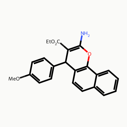 CCOC(=O)C1=C(N)Oc2c(ccc3ccccc23)C1c1ccc(OC)cc1